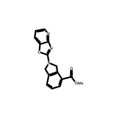 COC(=O)c1cccc2c1CN(c1nc3ncccc3o1)C2